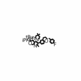 Cc1nc(C)c([C@H](OC(C)(C)C)C(=O)OC(C)C)c(N2CCC(C)(C)CC2)c1-c1ccc2c(c1)CC[C@H](Cc1ccc(F)cc1)O2